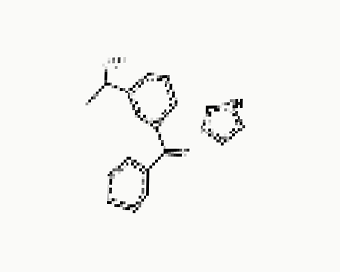 CC(C(=O)O)c1cccc(C(=O)c2ccccc2)c1.c1c[nH]cn1